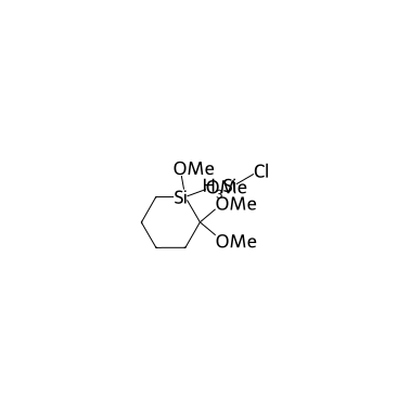 COC1(OC)CCCC[Si]1(OC)OC.[SiH3]Cl